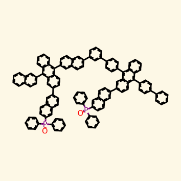 O=P(c1ccccc1)(c1ccccc1)c1ccc2cc(-c3ccc4c(-c5ccc(-c6ccccc6)cc5)c5ccccc5c(-c5ccc(-c6cccc(-c7ccc8cc(-c9c%10ccccc%10c(-c%10ccc%11ccccc%11c%10)c%10cc(-c%11ccc%12cc(P(=O)(c%13ccccc%13)c%13ccccc%13)ccc%12c%11)ccc9%10)ccc8c7)c6)cc5)c4c3)ccc2c1